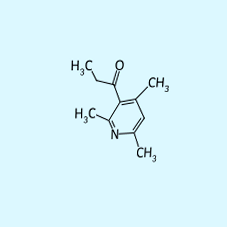 CCC(=O)c1c(C)cc(C)nc1C